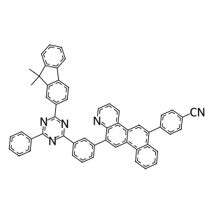 CC1(C)c2ccccc2-c2ccc(-c3nc(-c4ccccc4)nc(-c4cccc(-c5cc6c7ccccc7c(-c7ccc(C#N)cc7)cc6c6cccnc56)c4)n3)cc21